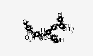 CC1(C)CCC(CN2CC=C(c3ccc(C(=O)N[S+]([O-])c4ccc(NCC5(F)CCN(C6COC6)CC5)c([N+](=O)[O-])c4)c(Oc4cnc5[nH]ccc5c4)c3)CC2)=C(c2ccc(Cl)cc2)C1